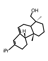 CC(C)C1=CC2=CCC3[C@@](C)(CO)CCC[C@]3(C)[C@@H]2CC1